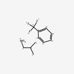 CC(C)CN.FC(F)(F)c1ccccc1